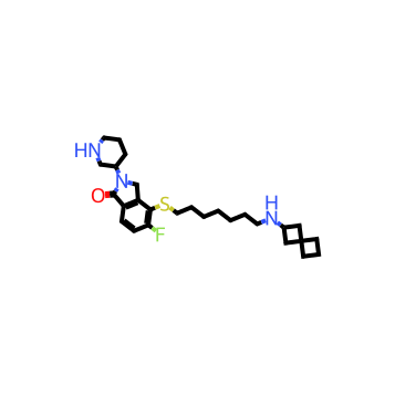 O=C1c2ccc(F)c(SCCCCCCCNC3CC4(CCC4)C3)c2CN1C1CCCNC1